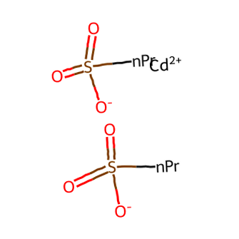 CCCS(=O)(=O)[O-].CCCS(=O)(=O)[O-].[Cd+2]